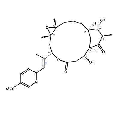 CSc1ccc(/C=C(\C)[C@@H]2C[C@@H]3O[C@]3(C)CCC[C@@H]3C[C@@](C)(C(=O)[C@H](C)[C@H]3O)[C@@H](O)CC(=O)O2)nc1